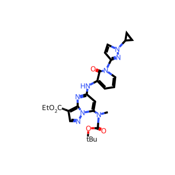 CCOC(=O)c1cnn2c(N(C)C(=O)OC(C)(C)C)cc(Nc3cccn(-c4ccn(C5CC5)n4)c3=O)nc12